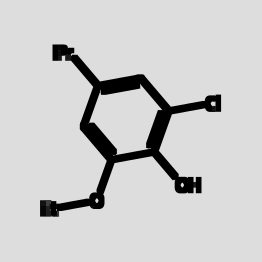 CCOc1cc(C(C)C)cc(Cl)c1O